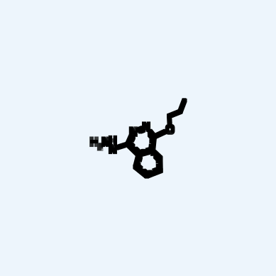 CCCOc1nnc(NN)c2ccccc12